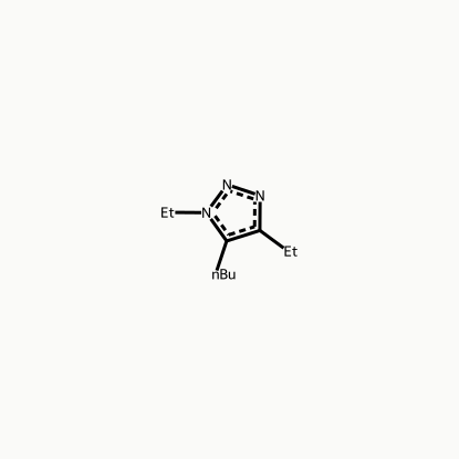 CCCCc1c(CC)nnn1CC